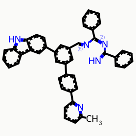 Cc1cccc(-c2ccc(-c3cc(/C=N/C(=N\C(=N)c4ccccc4)c4ccccc4)cc(-c4ccc5[nH]c6ccccc6c5c4)c3)cc2)n1